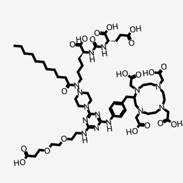 CCCCCCCCCCC(=O)N(CCCC[C@H](NC(=O)N[C@@H](CCC(=O)O)C(=O)O)C(=O)O)N1CCN(c2nc(NCCOCCOCCC(=O)O)nc(Nc3ccc(CC4CN(CC(=O)O)CCN(CC(=O)O)CCN(CC(=O)O)CCN4CC(=O)O)cc3)n2)CC1